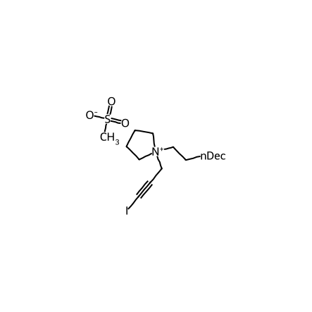 CCCCCCCCCCCC[N+]1(CC#CI)CCCC1.CS(=O)(=O)[O-]